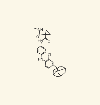 CNC(=O)C1(C(=O)Nc2ccc(Nc3ccc(C45CC6CC(CC(C6)C4)C5)cc3Cl)cc2)CC1